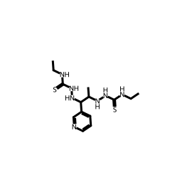 CCNC(=S)NNC(C)C(NNC(=S)NCC)c1cccnc1